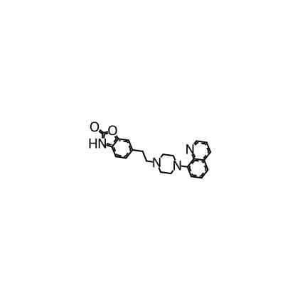 O=c1[nH]c2ccc(CCN3CCN(c4cccc5cccnc45)CC3)cc2o1